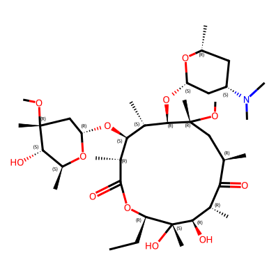 CC[C@H]1OC(=O)[C@H](C)[C@@H](O[C@H]2C[C@@](C)(OC)[C@@H](O)[C@H](C)O2)[C@H](C)[C@@H](O[C@H]2C[C@@H](N(C)C)C[C@@H](C)O2)[C@](C)(OC)C[C@@H](C)C(=O)[C@H](C)[C@@H](O)[C@]1(C)O